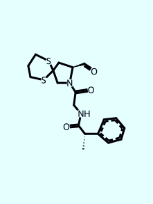 C[C@H](C(=O)NCC(=O)N1CC2(C[C@H]1C=O)SCCCS2)c1ccccc1